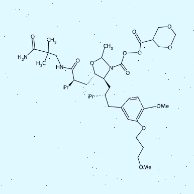 COCCCOc1cc(C[C@@H](C[C@H]2[C@H](C[C@H](C(=O)NCC(C)(C)C(N)=O)C(C)C)OC(C)N2C(=O)OOC(=O)C2COCOC2)C(C)C)ccc1OC